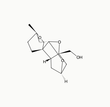 C[C@@]12CC[C@]3(CO1)[C@H]1C[C@@H]4C[C@@]1(CO)O[C@@]3(C2)O4